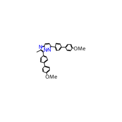 COc1ccc(-c2ccc(-c3ccc4nc(C)c(-c5ccc(-c6ccc(OC)cc6)cc5)n4n3)cc2)cc1